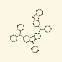 c1ccc(N(c2ccccc2)c2ccc3c(c2)c2cc(N(c4ccccc4)c4ccc5sc6ccccc6c5c4)ccc2n3-c2ccccc2)cc1